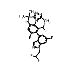 Cc1nnc2n1-c1c(cc(F)c(-c3cc(F)cc4c3cnn4CC(F)F)c1C(F)F)NC2(C)C